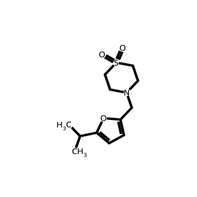 CC(C)c1ccc(CN2CCS(=O)(=O)CC2)o1